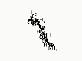 CCC(CC)C(=O)OC(C)(C)CCCCC(=O)NCC(=O)N[C@@H](CCCNC(N)=O)C(C)=O